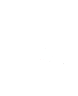 [CH2]CCC(CC(=O)[C]1OC2CCC1CC2CC)c1ccccc1